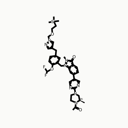 CC(=O)N1CCN(c2ncc(-c3ccc4c(=O)n(C)n(Cc5cc(Cc6cnn(COCC[Si](C)(C)C)c6)ccc5OC(F)F)c4c3)cn2)C[C@H]1C